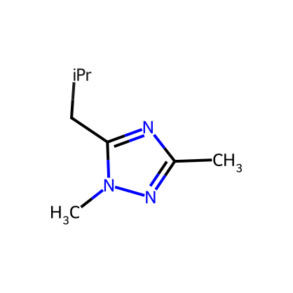 Cc1nc(CC(C)C)n(C)n1